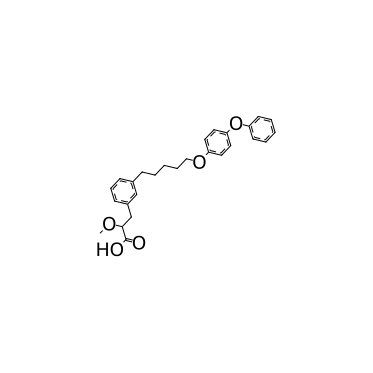 COC(Cc1cccc(CCCCCOc2ccc(Oc3ccccc3)cc2)c1)C(=O)O